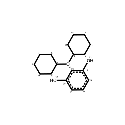 C1CCC(OC2CCCCC2)CC1.Oc1cccc(O)c1